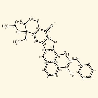 CC[C@@]1(OC(C)=O)C(=O)OCc2c1cc1n(c2=O)Cc2c-1nc1cccc([N+](=O)[O-])c1c2NCCc1ccccc1